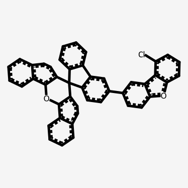 Clc1cccc2oc3ccc(-c4ccc5c(c4)-c4ccccc4C54c5ccc6ccccc6c5Oc5c4ccc4ccccc54)cc3c12